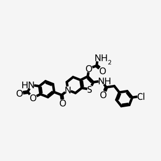 NC(=O)Oc1c(NC(=O)Cc2cccc(Cl)c2)sc2c1CCN(C(=O)c1ccc3[nH]c(=O)oc3c1)C2